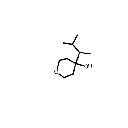 CC(C)C(C)C1(O)CCOCC1